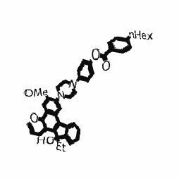 CCCCCCc1ccc(C(=O)Oc2ccc(N3CCN(c4cc5c(cc4OC)C4OC=CC=C4C4=C5c5ccccc5C4(O)CC)CC3)cc2)cc1